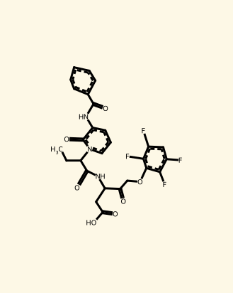 CCC(C(=O)NC(CC(=O)O)C(=O)COc1c(F)c(F)cc(F)c1F)n1cccc(NC(=O)c2ccccc2)c1=O